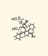 CC(=O)N(Cc1cccc(-c2sc(C(=O)O)c(OCC(=O)O)c2Br)c1)c1ccc(Oc2ccccc2)cc1